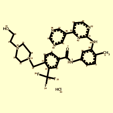 Cc1ccc(NC(=O)c2ccc(CN3CCN(CCO)CC3)c(C(F)(F)F)c2)cc1Nc1nccc(-c2cncnc2)n1.Cl